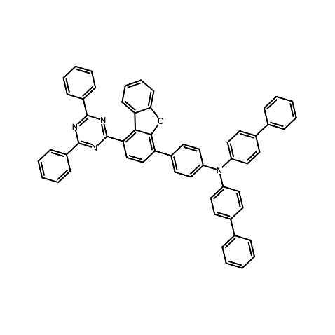 c1ccc(-c2ccc(N(c3ccc(-c4ccccc4)cc3)c3ccc(-c4ccc(-c5nc(-c6ccccc6)nc(-c6ccccc6)n5)c5c4oc4ccccc45)cc3)cc2)cc1